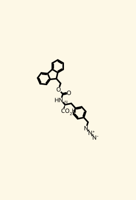 [N-]=[N+]=NCc1ccc(C[C@H](NC(=O)OCC2c3ccccc3-c3ccccc32)C(=O)O)cc1